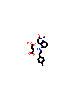 Cc1ccc(CCNC2CCCc3c2ccc(=O)n3C)cc1.O=C(O)C=CC(=O)O